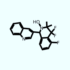 CC1(C)N(O)C(c2cnc3ccccc3c2)c2cccc(F)c2C1(F)F